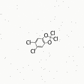 Clc1cc2c(cc1Cl)OC(Cl)(Cl)O2